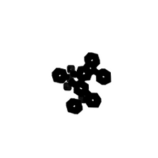 O=c1c2cc3c(cc2c2cc4c5ccccc5n(-c5ccccc5)c4cc2c(=O)n1-c1ccccc1)C(c1ccccc1)c1ccccc1-3